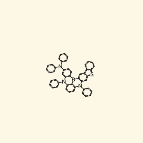 c1ccc(N(c2ccccc2)c2ccc3c(c2)N(c2ccccc2)c2cccc4c2B3c2cc3c(cc2N4c2ccccc2)sc2ccccc23)cc1